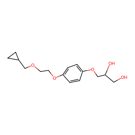 OCC(O)COc1ccc(OCCOCC2CC2)cc1